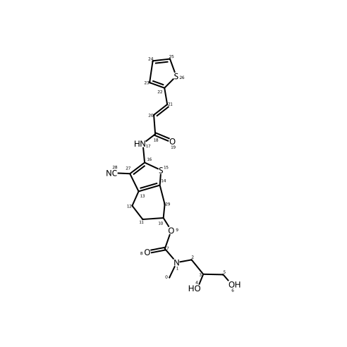 CN(CC(O)CO)C(=O)OC1CCc2c(sc(NC(=O)C=Cc3cccs3)c2C#N)C1